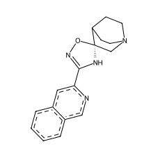 c1ccc2cc(C3=NO[C@@]4(CN5CCC4CC5)N3)ncc2c1